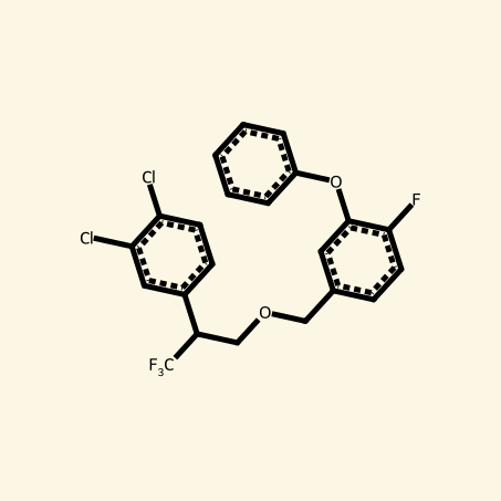 Fc1ccc(COCC(c2ccc(Cl)c(Cl)c2)C(F)(F)F)cc1Oc1ccccc1